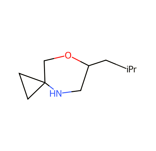 CC(C)CC1CNC2(CC2)CO1